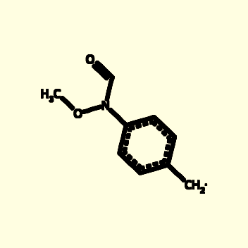 [CH2]c1ccc(N(C=O)OC)cc1